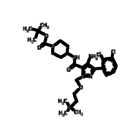 CC(C)(C)OC(=O)N1CCC(NC(=O)c2c(N)c(-c3cccc(Cl)c3Cl)nn2COCC[Si](C)(C)C)CC1